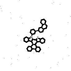 c1cc(-c2ccc3ccc4ccccc4c3c2)cc(-n2c3ccccc3c3c4c5ccccc5c5ccccc5c4c4c5ccccc5sc4c32)c1